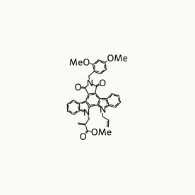 C=CCn1c2ccccc2c2c3c(c4c5ccccc5n(CC(=C)C(=O)OC)c4c21)C(=O)N(Cc1ccc(OC)cc1OC)C3=O